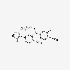 CCN(c1ccc(C#N)c(Cl)c1)c1cc(-c2[nH]ncc2C)ccc1C